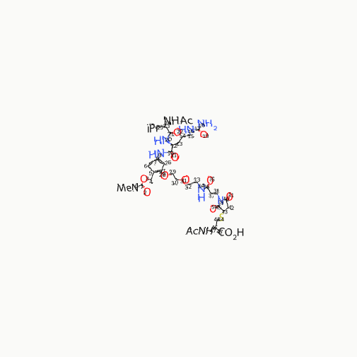 CNC(=O)OCc1ccc(NC(=O)[C@H](CCCNC(N)=O)NC(=O)[C@@H](NC(C)=O)C(C)C)cc1OCCOCCNC(=O)CCN1C(=O)CC(SC[C@H](NC(C)=O)C(=O)O)C1=O